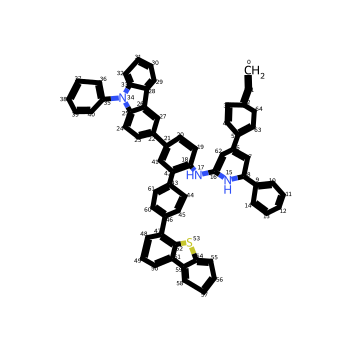 C=C=C1C=CC(C2=CC(c3ccccc3)NC(Nc3ccc(-c4ccc5c(c4)c4ccccc4n5-c4ccccc4)cc3-c3ccc(-c4cccc5c4sc4ccccc45)cc3)=C2)=CC1